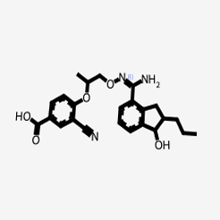 CCCC1Cc2c(/C(N)=N\OCC(C)Oc3ccc(C(=O)O)cc3C#N)cccc2C1O